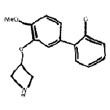 COc1ccc(-c2ccccc2Cl)cc1OC1CNC1